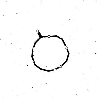 O=C1CCCCCCCCCCOCCC1